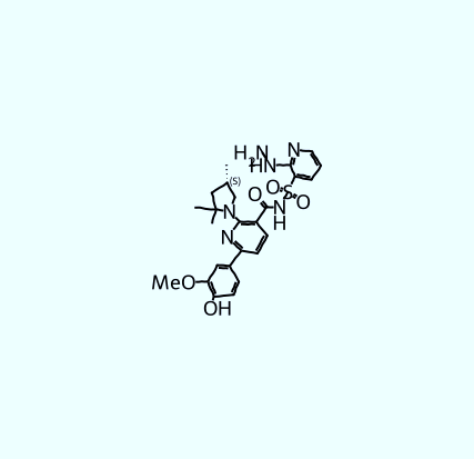 COc1cc(-c2ccc(C(=O)NS(=O)(=O)c3cccnc3NN)c(N3C[C@@H](C)CC3(C)C)n2)ccc1O